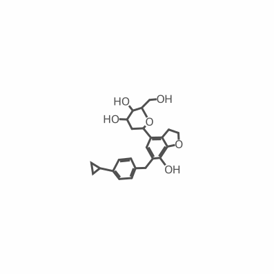 OCC1OC(c2cc(Cc3ccc(C4CC4)cc3)c(O)c3c2CCO3)CC(O)C1O